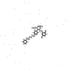 OC1CNCC(OCc2cc(F)ccc2F)C1c1ccc(OCCCOCc2ccccc2)cc1